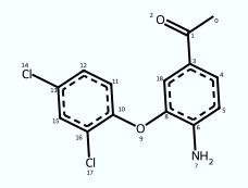 CC(=O)c1ccc(N)c(Oc2ccc(Cl)cc2Cl)c1